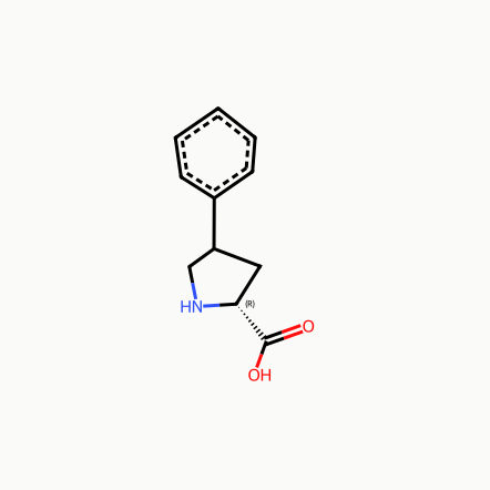 O=C(O)[C@H]1CC(c2ccccc2)CN1